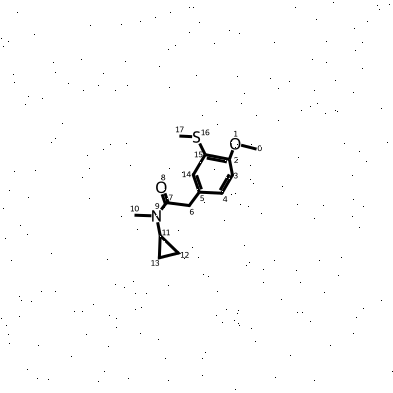 COc1ccc(CC(=O)N(C)C2CC2)cc1SC